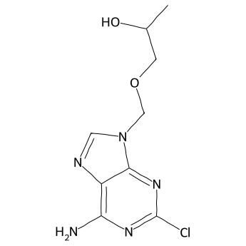 CC(O)COCn1cnc2c(N)nc(Cl)nc21